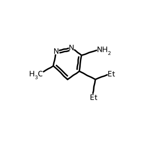 CCC(CC)c1cc(C)nnc1N